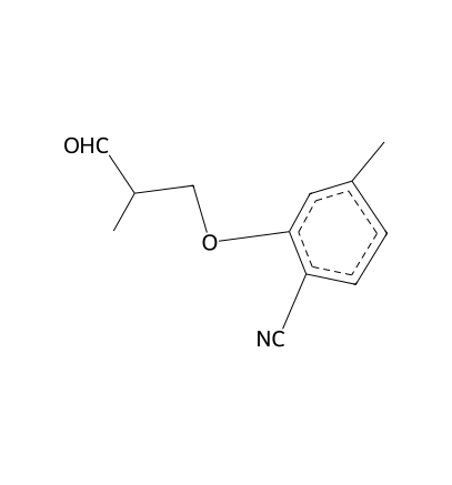 Cc1ccc(C#N)c(OCC(C)C=O)c1